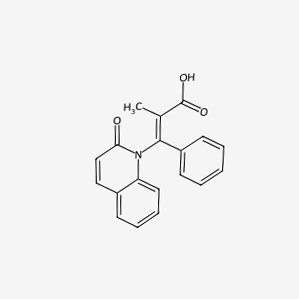 CC(C(=O)O)=C(c1ccccc1)n1c(=O)ccc2ccccc21